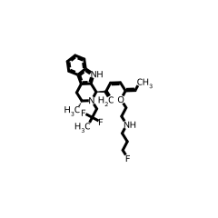 C=C(/C=C\C(=C/C)OCCNCCCF)[C@@H]1c2[nH]c3ccccc3c2C[C@@H](C)N1CC(C)(F)F